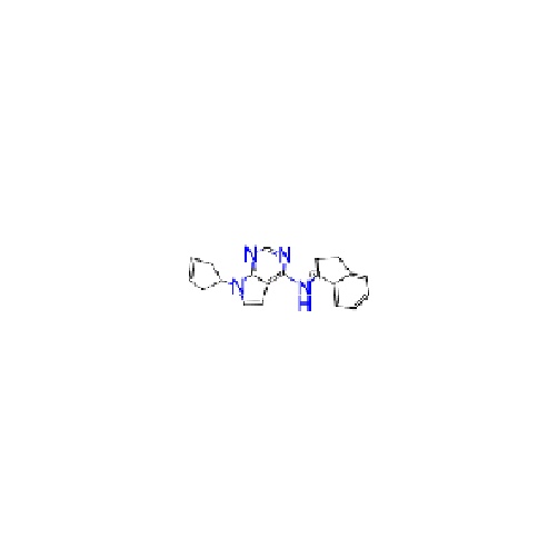 C1=CCC(n2ccc3c(N[C@H]4CCc5ccccc54)ncnc32)C1